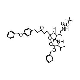 CC(C)C(NC(=O)C(NC(=O)CCC(=O)CCc1ccc(OCc2ccccc2)cc1)C(C)CNC(=O)OC(C)(C)C)C(=O)OCc1ccccc1